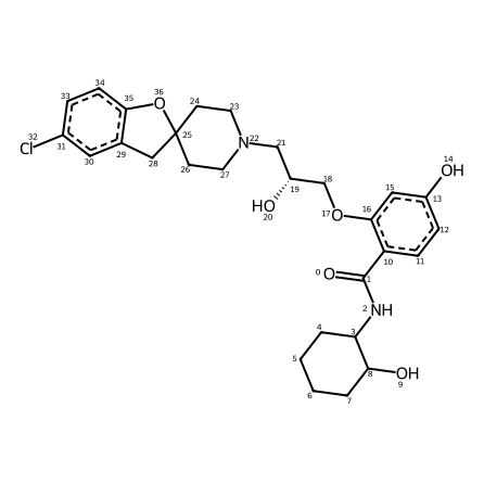 O=C(NC1CCCCC1O)c1ccc(O)cc1OC[C@H](O)CN1CCC2(CC1)Cc1cc(Cl)ccc1O2